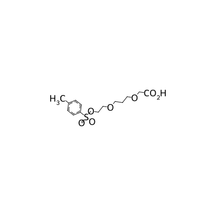 Cc1ccc(S(=O)(=O)OCCOCCCOCC(=O)O)cc1